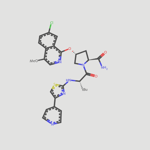 COc1cnc(O[C@@H]2C[C@@H](C(N)=O)N(C(=O)[C@@H](Nc3nc(-c4ccncc4)cs3)C(C)(C)C)C2)c2cc(Cl)ccc12